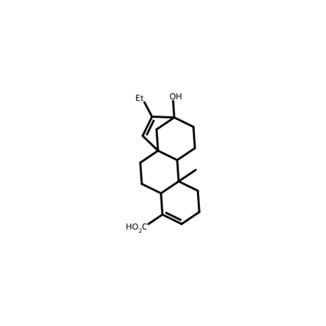 CCC1=CC23CCC4C(C(=O)O)=CCCC4(C)C2CCC1(O)C3